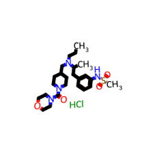 CCCN(CC1CCN(C(=O)N2CCOCC2)CC1)C(C)Cc1cccc(NS(C)(=O)=O)c1.Cl